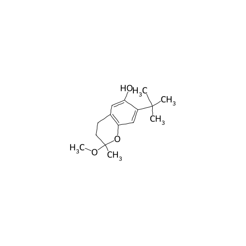 COC1(C)CCc2cc(O)c(C(C)(C)C)cc2O1